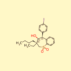 CCCC[C@]1(CC)CS(=O)(=O)c2ccccc2[C@H](c2ccc(I)cc2)[C@@H]1O